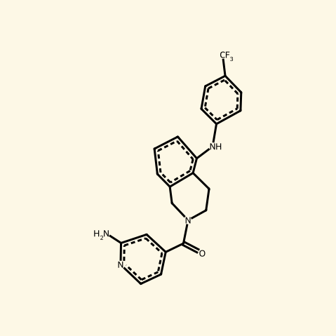 Nc1cc(C(=O)N2CCc3c(cccc3Nc3ccc(C(F)(F)F)cc3)C2)ccn1